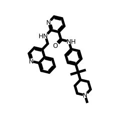 CN1CCC(C(C)(C)c2ccc(NC(=O)c3cccnc3NCc3ccnc4ccccc34)cc2)CC1